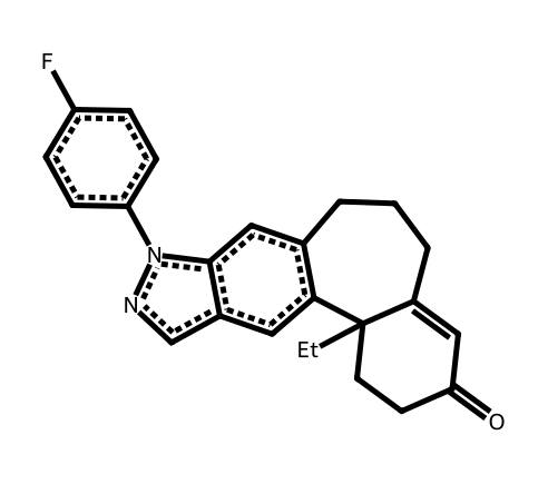 CCC12CCC(=O)C=C1CCCc1cc3c(cnn3-c3ccc(F)cc3)cc12